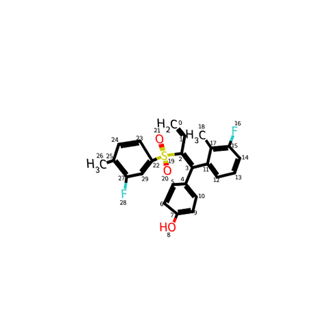 C=C/C(=C(/c1ccc(O)cc1)c1cccc(F)c1C)S(=O)(=O)c1ccc(C)c(F)c1